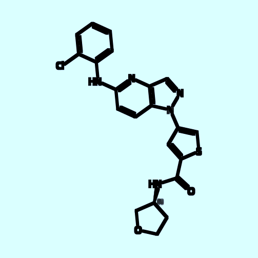 O=C(N[C@H]1CCOC1)c1cc(-n2ncc3nc(Nc4ccccc4Cl)ccc32)cs1